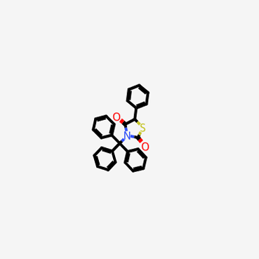 O=C1SC(c2ccccc2)C(=O)N1C(c1ccccc1)(c1ccccc1)c1ccccc1